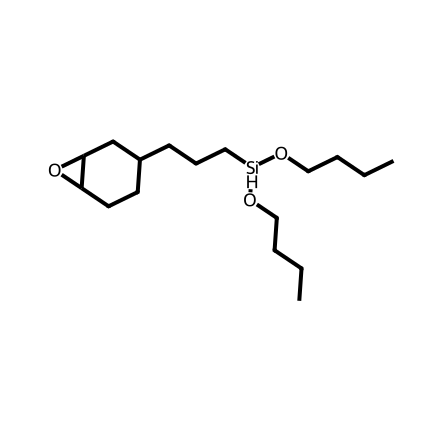 CCCCO[SiH](CCCC1CCC2OC2C1)OCCCC